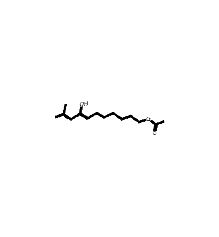 CC(=O)OCCCCCCCC(O)CC(C)C